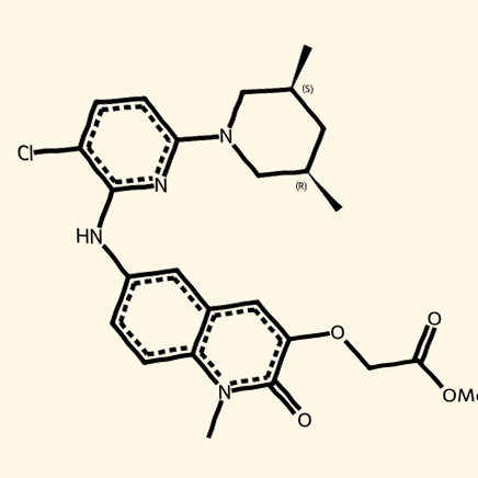 COC(=O)COc1cc2cc(Nc3nc(N4C[C@H](C)C[C@H](C)C4)ccc3Cl)ccc2n(C)c1=O